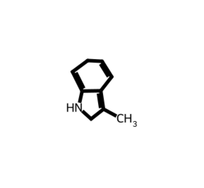 CC1=C2C=CCC=C2NC1